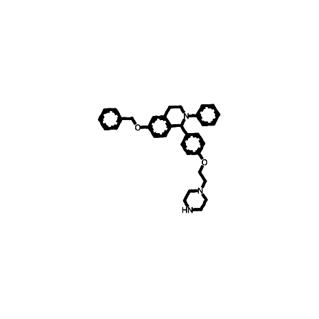 c1ccc(COc2ccc3c(c2)CCN(c2ccccc2)C3c2ccc(OCCN3CCNCC3)cc2)cc1